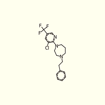 FC(F)(F)c1cnc(N2CCCN(CCc3ccccc3)CC2)c(Cl)c1